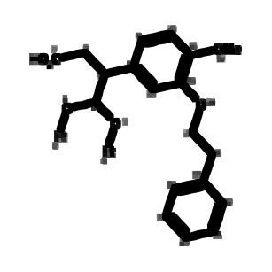 CCOC(OCC)C(CC(=O)O)c1ccc(OC)c(OCCc2ccccc2)c1